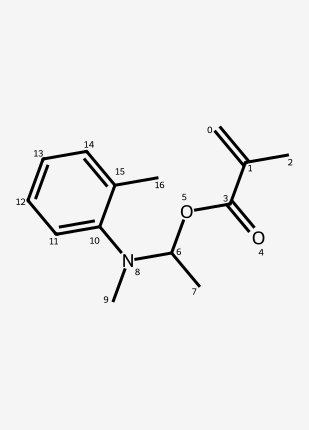 C=C(C)C(=O)OC(C)N(C)c1ccccc1C